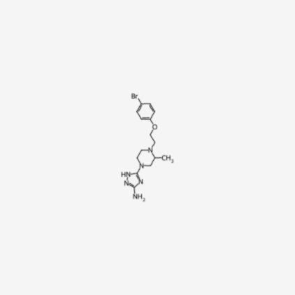 CC1CN(c2nc(N)n[nH]2)CCN1CCOc1ccc(Br)cc1